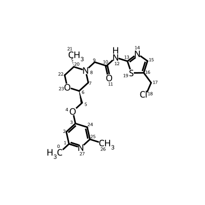 Cc1cc(OC[C@@H]2CN(CC(=O)Nc3ncc(CCl)s3)[C@@H](C)CO2)cc(C)n1